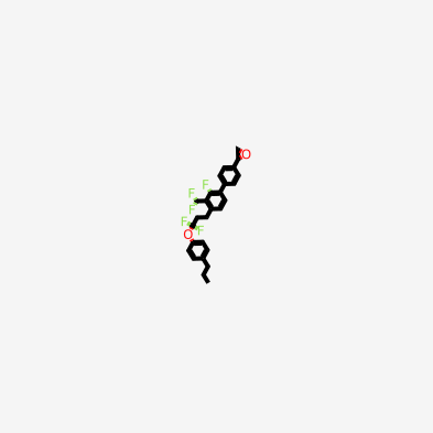 CCCc1ccc(OC(F)(F)CCc2ccc(-c3ccc(C4CO4)cc3)c(F)c2C(F)F)cc1